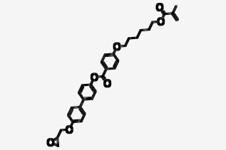 C=C(C)C(=O)OCCCCCCOc1ccc(C(=O)Oc2ccc(-c3ccc(OCC4CO4)cc3)cc2)cc1